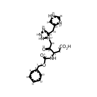 O=C(O)CC(NC(=O)OCc1ccccc1)C(=O)Cn1nnnc1Cc1c[nH]cn1